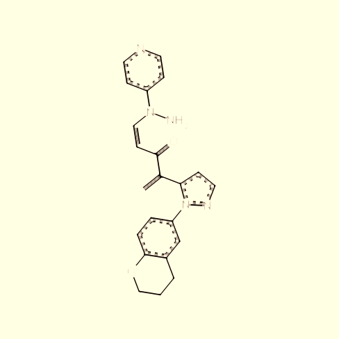 C=C(C(=O)/C=C\N(N)c1ccncc1)c1ccnn1-c1ccc2c(c1)CCCO2